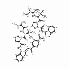 CN[C@@H](C)C(=O)N[C@H](C(=O)N1CCCC1C(=O)N[C@H]1c2ccccc2C[C@@H]1NC(=O)c1ccc(C(=O)N[C@H]2Cc3ccccc3[C@@H]2NC(=O)[C@@H]2CCCN2C(=O)[C@@H](NC(=O)[C@H](C)NC)C(C)(C)C)cc1)C(C)(C)C